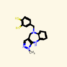 Cn1ncc2c1Nc1ccccc1N(Cc1ccc(S)c(S)c1)C2